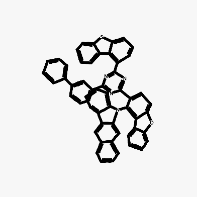 c1ccc(-c2cccc(-c3nc(-c4ccc5oc6ccccc6c5c4-n4c5ccccc5c5cc6ccccc6cc54)nc(-c4cccc5sc6ccccc6c45)n3)c2)cc1